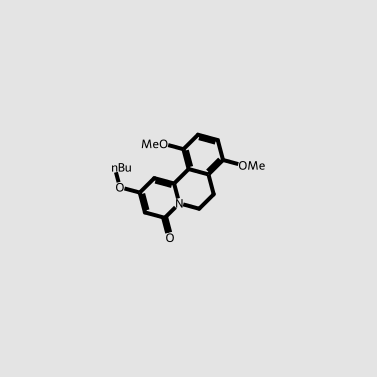 CCCCOc1cc2n(c(=O)c1)CCc1c(OC)ccc(OC)c1-2